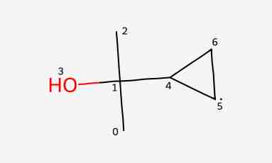 CC(C)(O)C1[CH]C1